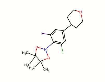 CC1(C)ON(c2c(F)cc(C3CCOCC3)cc2I)OC1(C)C